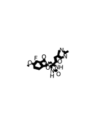 COc1ccc2c(c1F)C(=O)N(C[C@@]1(c3cc4cnc(C)nc4o3)NC(=O)NC1=O)C2